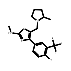 CNc1nc(-c2ccc(Cl)c(C(F)(F)F)c2)c(CN2CCCC2C)s1